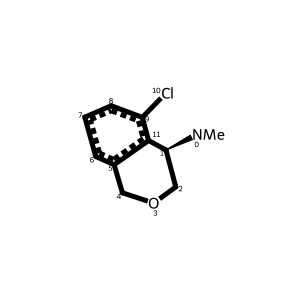 CN[C@H]1COCc2cccc(Cl)c21